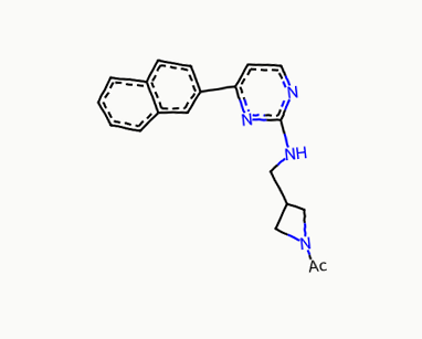 CC(=O)N1CC(CNc2nccc(-c3ccc4ccccc4c3)n2)C1